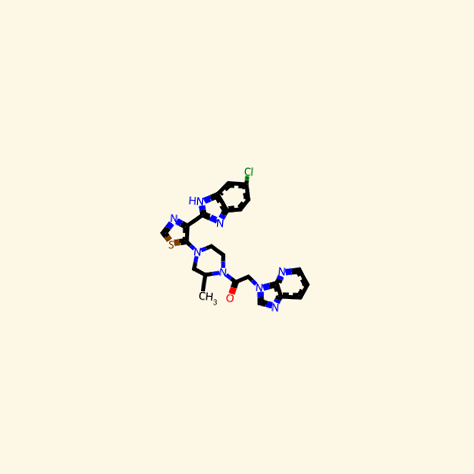 CC1CN(c2scnc2-c2nc3ccc(Cl)cc3[nH]2)CCN1C(=O)Cn1cnc2cccnc21